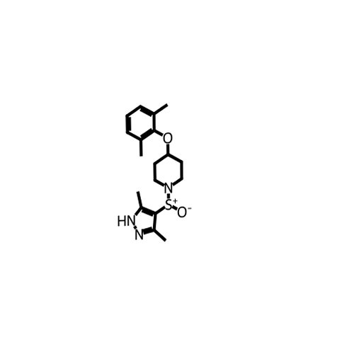 Cc1cccc(C)c1OC1CCN([S+]([O-])c2c(C)n[nH]c2C)CC1